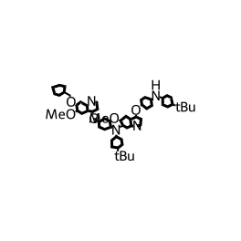 COc1cc2c(Oc3ccc(N(c4ccc(C(C)(C)C)cc4)c4cc5nccc(Oc6ccc(Nc7ccc(C(C)(C)C)cc7)cc6)c5cc4OC)cc3)ccnc2cc1OCc1ccccc1